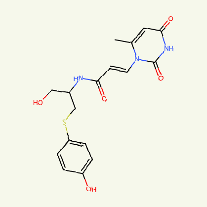 Cc1cc(=O)[nH]c(=O)n1C=CC(=O)NC(CO)CSc1ccc(O)cc1